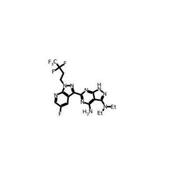 CCN(CC)c1n[nH]c2nc(-c3nn(CCC(F)(F)C(F)(F)F)c4ncc(F)cc34)nc(N)c12